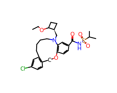 CCOC1CC[C@H]1CN1CCCCc2cc(Cl)ccc2COc2ccc(C(=O)NS(=O)(=O)C(C)C)cc21